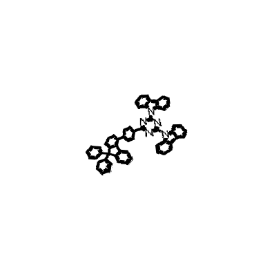 c1ccc(C2(c3ccccc3)c3ccccc3-c3c(-c4ccc(-c5nc(-n6c7ccccc7c7ccccc76)nc(-n6c7ccccc7c7ccccc76)n5)cc4)cccc32)cc1